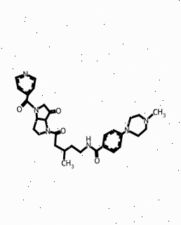 CC(CCNC(=O)c1ccc(N2CCN(C)CC2)cc1)CC(=O)N1CCC2C1C(=O)CN2C(=O)c1ccncc1